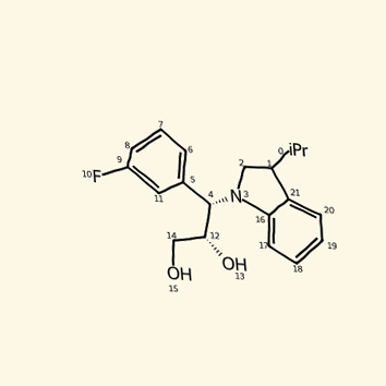 CC(C)C1CN([C@@H](c2cccc(F)c2)[C@H](O)CO)c2ccccc21